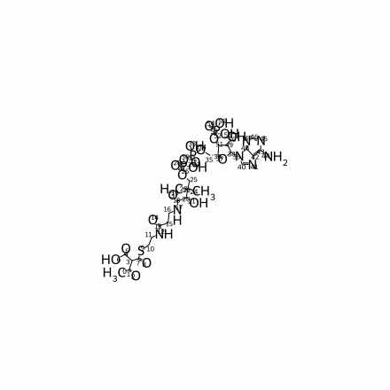 CC(=O)C(C(=O)O)C(=O)SCCNC(=O)CCNC(=O)C(O)C(C)(C)COP(=O)(O)OP(=O)(O)OC[C@H]1O[C@@H](n2cnc3c(N)ncnc32)[C@H](O)[C@@H]1OP(=O)(O)O